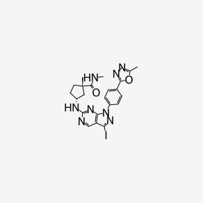 CNC(=O)[C@@]1(C)CC[C@@H](Nc2ncc3c(I)nn(-c4ccc(-c5nnc(C)o5)cc4)c3n2)C1